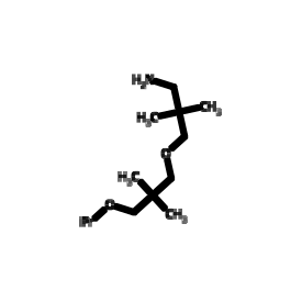 CC(C)OCC(C)(C)COCC(C)(C)CN